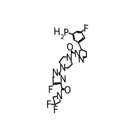 O=C(c1nc(N2CCN(C(=O)N3N=CCC3c3cc(F)cc(P)c3)CC2)ncc1F)N1CC(F)(F)C1